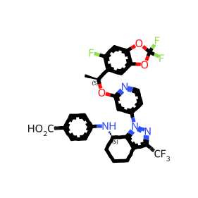 C[C@H](Oc1cc(-n2nc(C(F)(F)F)c3c2[C@@H](Nc2ccc(C(=O)O)cc2)CCC3)ccn1)c1cc2c(cc1F)OC(F)(F)O2